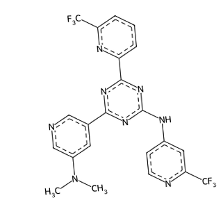 CN(C)c1cncc(-c2nc(Nc3ccnc(C(F)(F)F)c3)nc(-c3cccc(C(F)(F)F)n3)n2)c1